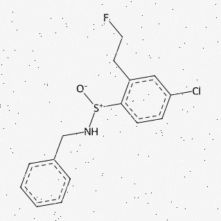 [O-][S+](NCc1ccccc1)c1ccc(Cl)cc1CCF